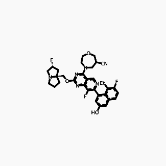 CCc1c(F)ccc2cc(O)cc(-c3ncc4c(N5CCOCC(C#N)C5)nc(OC[C@@]56CCCN5C[C@H](F)C6)nc4c3F)c12